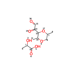 CC(O)C(=O)O.CC1COC(C)C(C(=O)C=O)O1